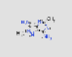 Cc1nc(N)c2nn(C)c(N)c2n1